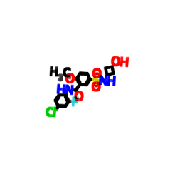 COc1ccc(S(=O)(=O)NC2CC(O)C2)cc1C(=O)Nc1ccc(Cl)cc1F